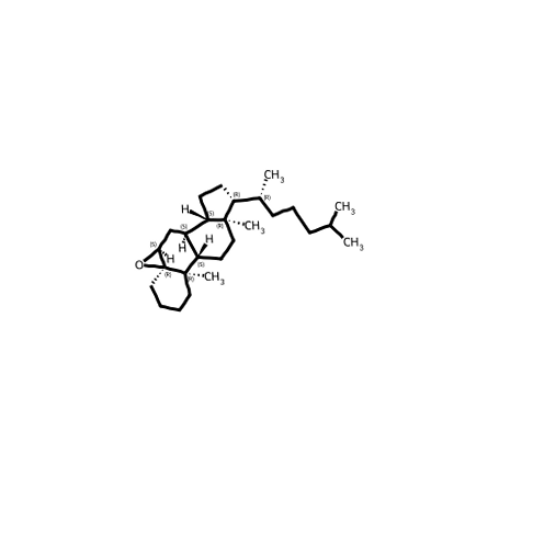 CC(C)CCC[C@@H](C)[C@H]1CC[C@H]2[C@@H]3C[C@@H]4O[C@@]45CCCC[C@]5(C)[C@H]3CC[C@]12C